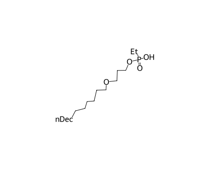 CCCCCCCCCCCCCCCCOCCCOP(=O)(O)CC